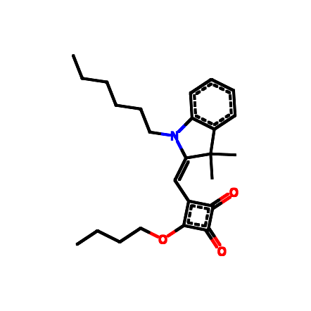 CCCCCCN1/C(=C/c2c(OCCCC)c(=O)c2=O)C(C)(C)c2ccccc21